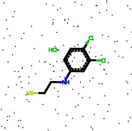 Cl.SCCNc1ccc(Cl)c(Cl)c1